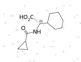 O=C(N[C@H](C(=O)O)C1CCCCC1)C1CC1